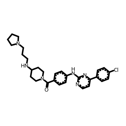 O=C(c1ccc(Nc2nccc(-c3ccc(Cl)cc3)n2)cc1)N1CCC(NCCCN2CCCC2)CC1